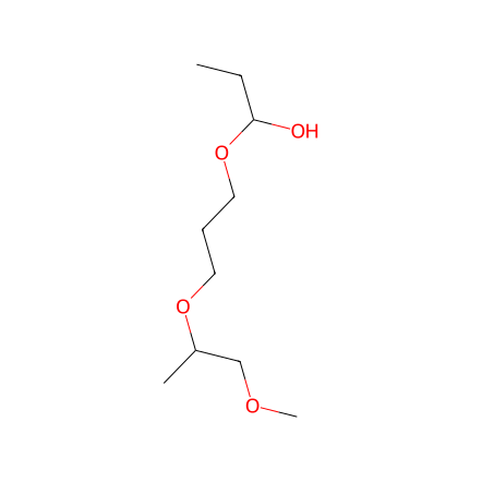 CCC(O)OCCCOC(C)COC